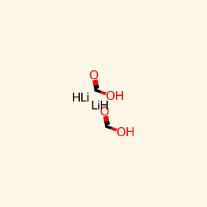 O=CO.O=CO.[LiH].[LiH]